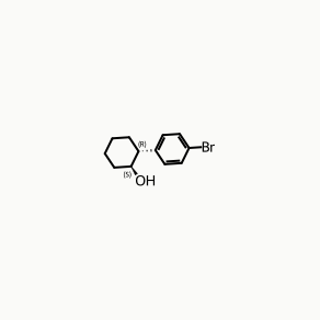 O[C@H]1CCCC[C@@H]1c1ccc(Br)cc1